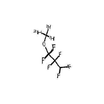 [2H]C([2H])([2H])OC(F)(F)C(F)(F)C(F)F